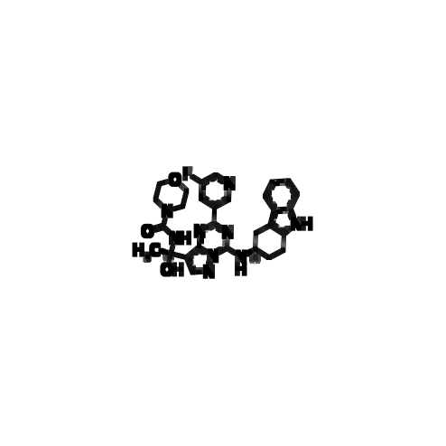 C[C@@](O)(NC(=O)N1CCOCC1)c1cnn2c(N[C@@H]3CCc4[nH]c5ccccc5c4C3)nc(-c3cncc(F)c3)nc12